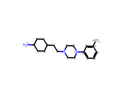 NC1CCC(CCN2CCN(c3cccc(C(F)(F)F)c3)CC2)CC1